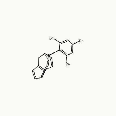 CC(C)c1cc(C(C)C)c(B2C3=C4C=CC5=C4C=CC23C5)c(C(C)C)c1